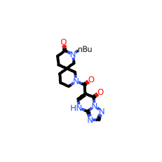 CCCCN1CC2(CCCN(C(=O)c3c[nH]c4ncnn4c3=O)C2)CCC1=O